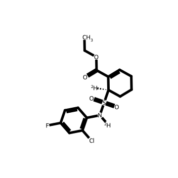 [2H]N(c1ccc(F)cc1Cl)S(=O)(=O)[C@]1([2H])CCCC=C1C(=O)OCC